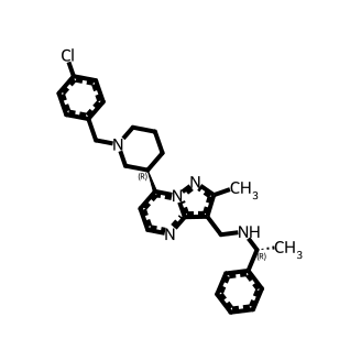 Cc1nn2c([C@@H]3CCCN(Cc4ccc(Cl)cc4)C3)ccnc2c1CN[C@H](C)c1ccccc1